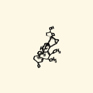 CC1C2=CC(=O)CC[C@]2(C)C2CC[C@@]3(C)C(C4CC4[C@@]34CCC(O)O4)C2C1C